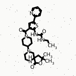 CCNC(=O)Nc1sc(-c2ccccn2)cc1C(=O)N1CCC(N2CCNC3(C2)CC(C)(C)OC3=O)CC1